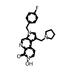 O=c1c2ncc3c(c(CN4CCCC4)cn3Cc3ccc(F)cc3)c2ccn1O